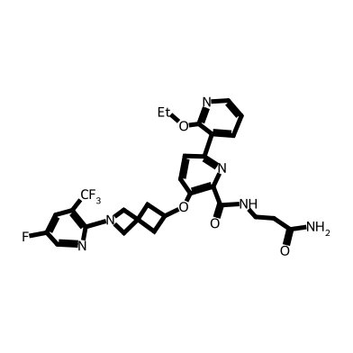 CCOc1ncccc1-c1ccc(OC2CC3(C2)CN(c2ncc(F)cc2C(F)(F)F)C3)c(C(=O)NCCC(N)=O)n1